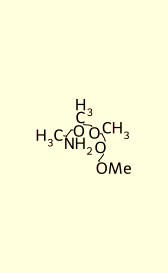 COCCOCC(C)OCC(C)OCC(C)N